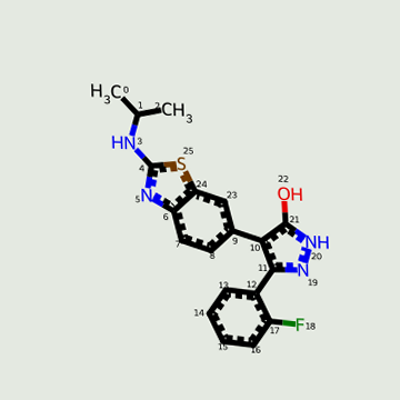 CC(C)Nc1nc2ccc(-c3c(-c4ccccc4F)n[nH]c3O)cc2s1